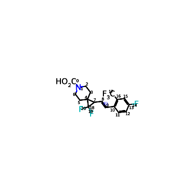 O=C(O)N1CCC2(CC1)C(/C=C/c1ccc(F)cc1C(F)(F)F)C2(F)F